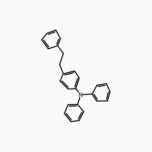 c1ccc(CCc2ccc(N(c3ccccc3)c3ccccc3)cc2)cc1